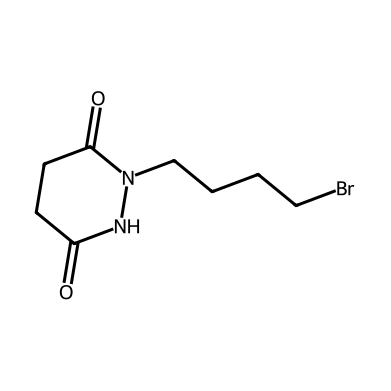 O=C1CCC(=O)N(CCCCBr)N1